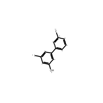 Oc1cc(I)cc(-c2cccc(F)c2)c1